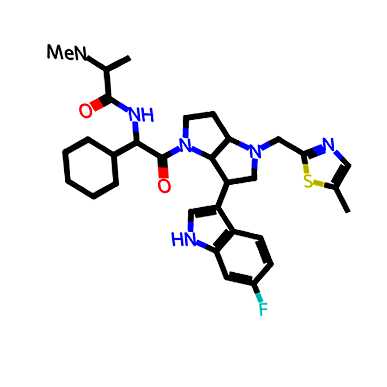 CNC(C)C(=O)NC(C(=O)N1CCC2C1C(c1c[nH]c3cc(F)ccc13)CN2Cc1ncc(C)s1)C1CCCCC1